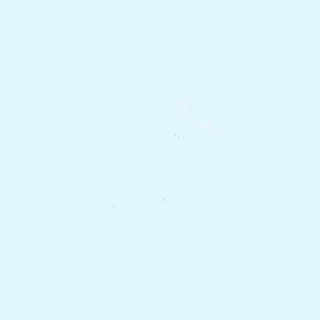 CC(C)(C)OC(=O)N1CC=C(c2ccnc(Cl)c2[N+](=O)[O-])CC1